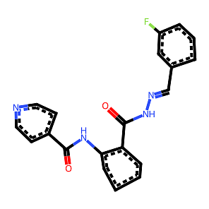 O=C(Nc1ccccc1C(=O)NN=Cc1cccc(F)c1)c1ccncc1